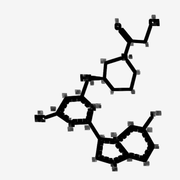 N#CCC(=O)N1CCC[C@@H](Nc2cc(C#N)nc(-c3cnc4ccc(F)cn34)n2)C1